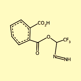 N=NC(OC(=O)c1ccccc1C(=O)O)C(F)(F)F